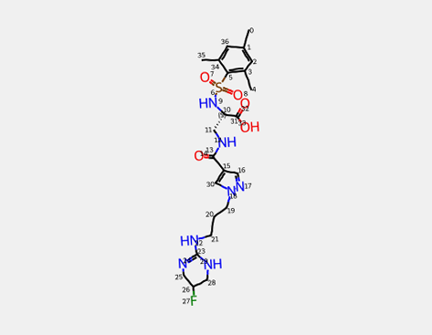 Cc1cc(C)c(S(=O)(=O)N[C@@H](CNC(=O)c2cnn(CCCNC3=NCC(F)CN3)c2)C(=O)O)c(C)c1